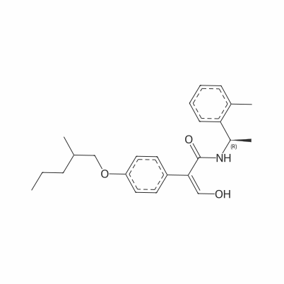 CCCC(C)COc1ccc(C(=CO)C(=O)N[C@H](C)c2ccccc2C)cc1